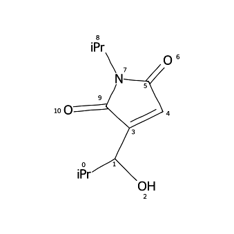 CC(C)C(O)C1=CC(=O)N(C(C)C)C1=O